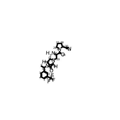 CC(c1cccc(C(F)(F)F)c1)N1C(=O)[C@@H]2C[C@@H]1CN2CC(N)C(=O)N1CCCC1C#N